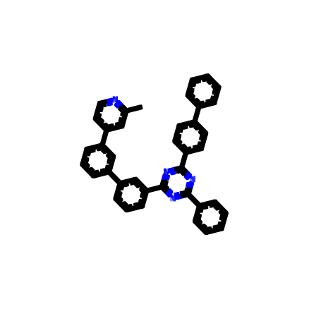 Cc1cc(-c2cccc(-c3cccc(-c4nc(-c5ccccc5)nc(-c5ccc(-c6ccccc6)cc5)n4)c3)c2)ccn1